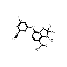 C[S+]([O-])c1ccc(Oc2cc(F)cc(C#N)c2)c2c1[C@H](O)C(F)(Cl)C2